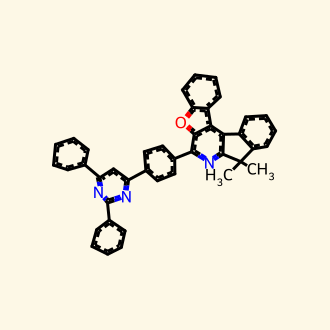 CC1(C)c2ccccc2-c2c1nc(-c1ccc(-c3cc(-c4ccccc4)nc(-c4ccccc4)n3)cc1)c1oc3ccccc3c21